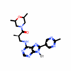 CCn1c(-c2cnc(C)nc2)nc2c(NC[C@@H](C)C(=O)N3CC(C)OC(C)C3)ncnc21